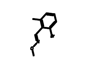 CON=Cc1c(C)cccc1Br